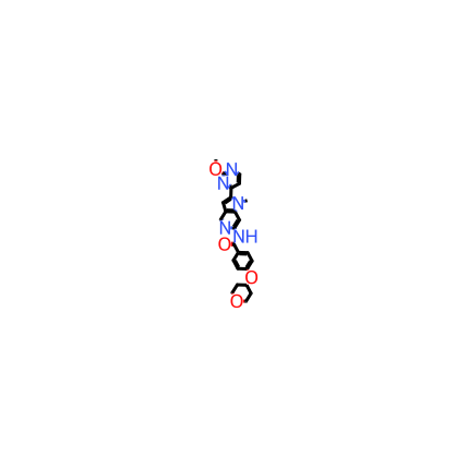 COc1nccc(-c2cc3cnc(NC(=O)c4ccc(OC5CCOCC5)cc4)cc3n2C)n1